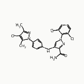 Cc1nn(-c2ccc(Nc3cn(-c4c(Cl)cccc4Cl)nc3C(N)=O)cc2)c(C)c1Cl